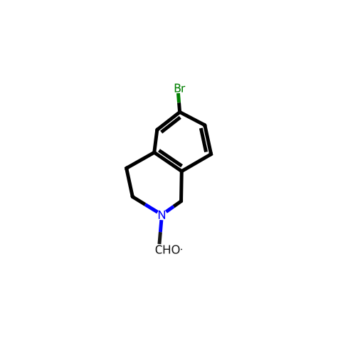 O=[C]N1CCc2cc(Br)ccc2C1